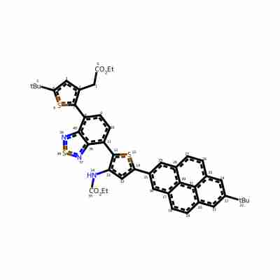 CCOC(=O)Cc1cc(C(C)(C)C)sc1-c1ccc(-c2sc(-c3cc4ccc5cc(C(C)(C)C)cc6ccc(c3)c4c56)cc2NC(=O)OCC)c2nsnc12